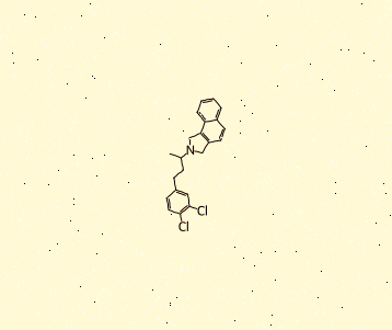 CC(CCc1ccc(Cl)c(Cl)c1)N1Cc2ccc3ccccc3c2C1